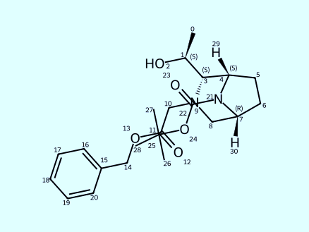 C[C@H](O)[C@@H]1[C@@H]2CC[C@H](CN1CC(=O)OCc1ccccc1)N2C(=O)OC(C)(C)C